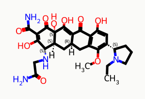 CCN1CCC[C@H]1c1cc(O)c2c(c1OC)C[C@H]1C[C@H]3[C@H](NCC(N)=O)C(O)=C(C(N)=O)C(=O)[C@@]3(O)C(O)=C1C2=O